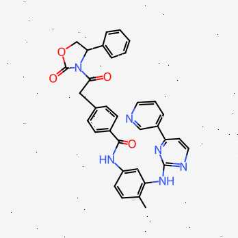 Cc1ccc(NC(=O)c2ccc(CC(=O)N3C(=O)OCC3c3ccccc3)cc2)cc1Nc1nccc(-c2cccnc2)n1